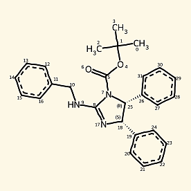 CC(C)(C)OC(=O)N1C(NCc2ccccc2)=N[C@@H](c2ccccc2)[C@H]1c1ccccc1